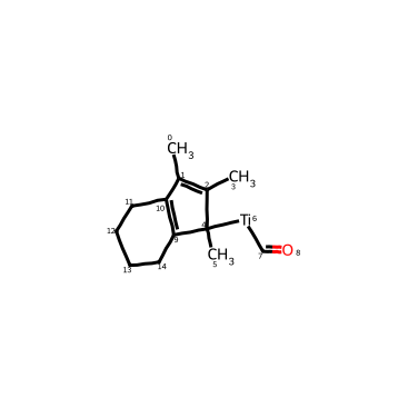 CC1=C(C)[C](C)([Ti][CH]=O)C2=C1CCCC2